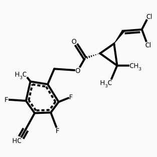 C#Cc1c(F)c(C)c(COC(=O)[C@@H]2[C@@H](C=C(Cl)Cl)C2(C)C)c(F)c1F